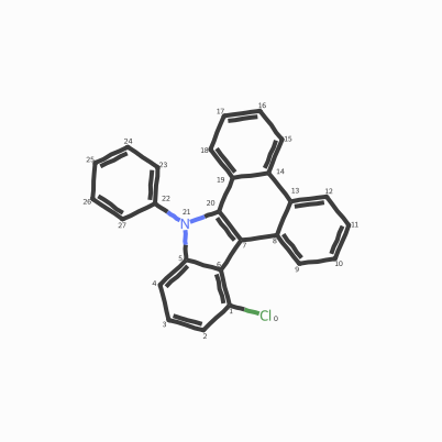 Clc1cccc2c1c1c3ccccc3c3ccccc3c1n2-c1ccccc1